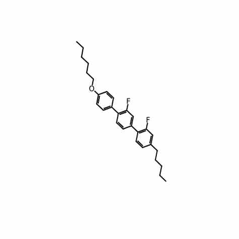 CCCCCCOc1ccc(-c2ccc(-c3ccc(CCCCC)cc3F)cc2F)cc1